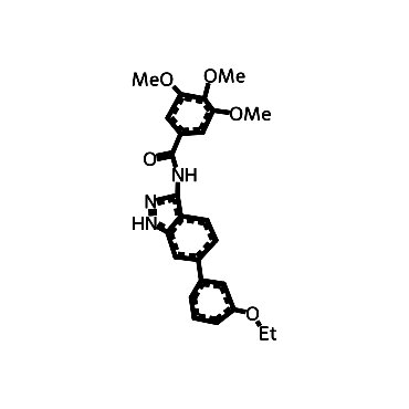 CCOc1cccc(-c2ccc3c(NC(=O)c4cc(OC)c(OC)c(OC)c4)n[nH]c3c2)c1